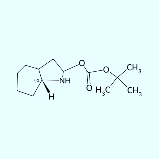 CC(C)(C)OC(=O)OC1CC2CCCC[C@H]2N1